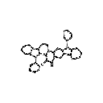 O=c1[nH]c2cc3c4ccccc4n(-c4ccccc4)c3cc2c2ccc3c4ccccc4n(-c4ccccc4)c3c12